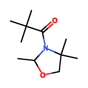 CC1OCC(C)(C)N1C(=O)C(C)(C)C